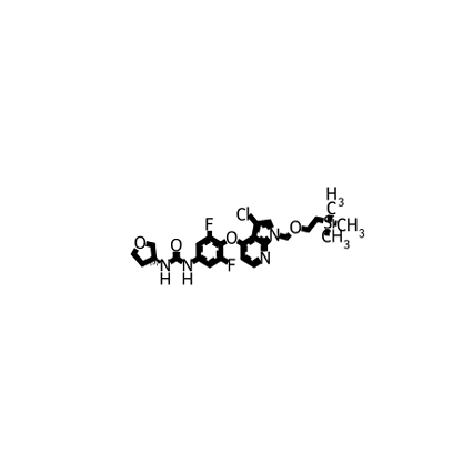 C[Si](C)(C)CCOCn1cc(Cl)c2c(Oc3c(F)cc(NC(=O)N[C@H]4CCOC4)cc3F)ccnc21